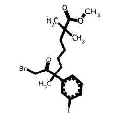 COC(=O)C(C)(C)CCCCC(C)(C(=O)CBr)c1cccc(I)c1